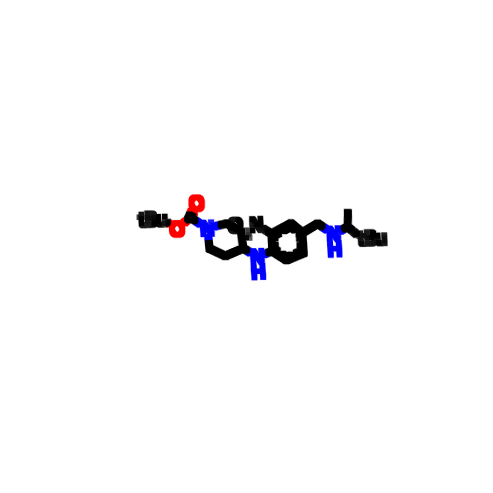 CC(NCc1ccc(NC2CCN(C(=O)OC(C)(C)C)CC2)c([N+](=O)[O-])c1)C(C)(C)C